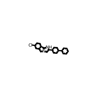 Clc1ccc2c(c1)cn1cc(-c3ccc(-c4ccccc4)cc3)[nH]c21